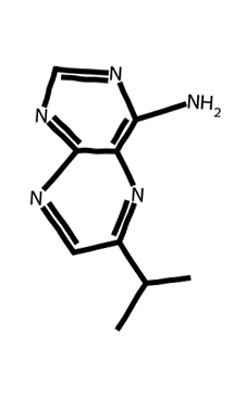 CC(C)c1cnc2ncnc(N)c2n1